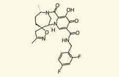 CC1=NO[C@]2(CC[C@H](C)N3C[C@H]2n2cc(C(=O)NCc4ccc(F)cc4F)c(=O)c(O)c2C3=O)C1